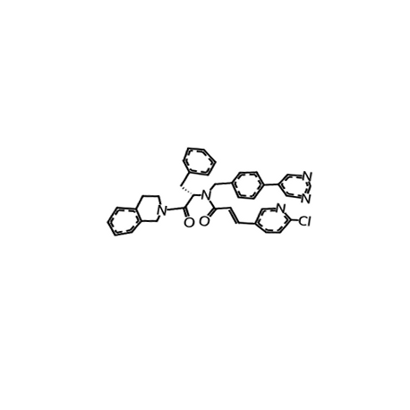 O=C([C@H](Cc1ccccc1)N(Cc1ccc(-c2cncnc2)cc1)C(=O)C=Cc1ccc(Cl)nc1)N1CCc2ccccc2C1